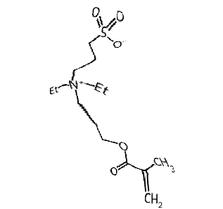 C=C(C)C(=O)OCCC[N+](CC)(CC)CCCS(=O)(=O)[O-]